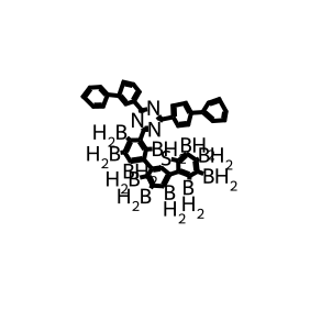 Bc1c(B)c(-c2nc(-c3ccc(-c4ccccc4)cc3)nc(-c3cccc(-c4ccccc4)c3)n2)c(B)c(-c2c(B)c(B)c(B)c3c2sc2c(B)c(B)c(B)c(B)c23)c1B